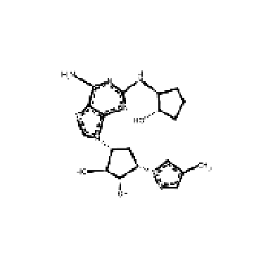 Cc1cnn([C@H]2C[C@@H](n3cnc4c(N)nc(N[C@H]5CCC[C@@H]5O)nc43)[C@H](O)[C@@H]2O)c1